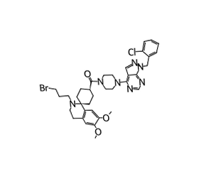 COc1cc2c(cc1OC)[C@]1(CC[C@H](C(=O)N3CCN(c4ncnc5c4cnn5Cc4ccccc4Cl)CC3)CC1)N(CCCBr)CC2